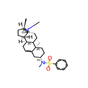 C[C@H]1[C@H]2CC[C@H]3[C@@H]4CC=C5C[C@@H](N(C)S(=O)(=O)c6ccccc6)CC[C@]5(C)C4CC[C@]23CN1C